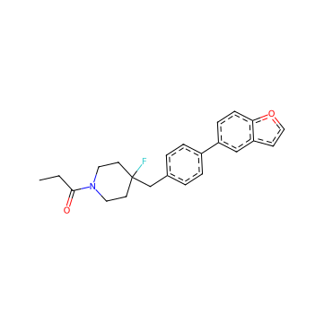 CCC(=O)N1CCC(F)(Cc2ccc(-c3ccc4occc4c3)cc2)CC1